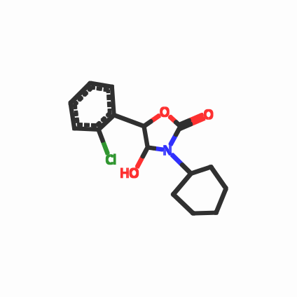 O=C1OC(c2ccccc2Cl)C(O)N1C1CCCCC1